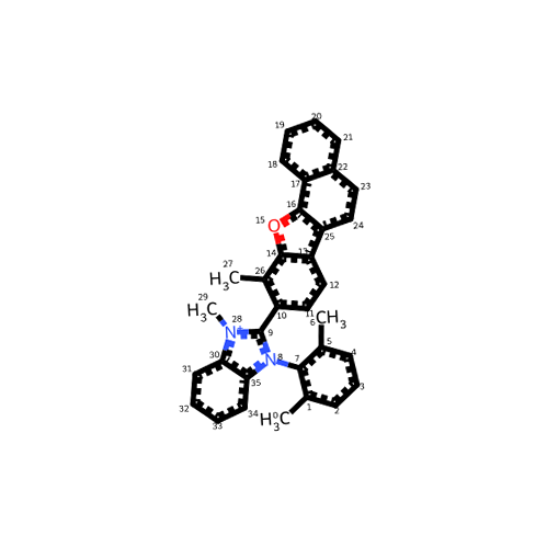 Cc1cccc(C)c1-n1c(-c2ccc3c(oc4c5ccccc5ccc34)c2C)[n+](C)c2ccccc21